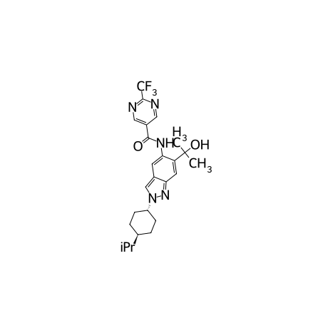 CC(C)[C@H]1CC[C@H](n2cc3cc(NC(=O)c4cnc(C(F)(F)F)nc4)c(C(C)(C)O)cc3n2)CC1